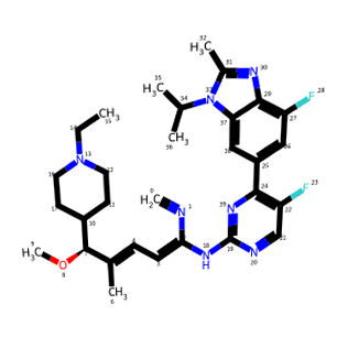 C=N/C(=C\C=C(/C)[C@@H](OC)C1CCN(CC)CC1)Nc1ncc(F)c(-c2cc(F)c3nc(C)n(C(C)C)c3c2)n1